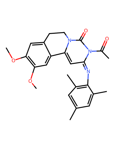 COc1cc2c(cc1OC)-c1cc(=Nc3c(C)cc(C)cc3C)n(C(C)=O)c(=O)n1CC2